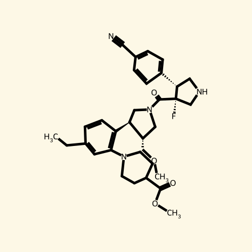 CCc1ccc([C@H]2CN(C(=O)[C@]3(F)CNC[C@H]3c3ccc(C#N)cc3)C[C@@H]2COC)c(N2CCC(C(=O)OC)CC2)c1